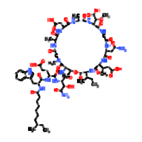 CCC(C)CCCCCCC(=O)NC(Cc1c[nH]c2ccccc12)C(=O)NC(CCC(=O)O)C(=O)NC(C(=O)NC1C(=O)N(C)CC(=O)NC(C)C(=O)NC(CC(=O)O)C(=O)NC(C)C(=O)NC(C(OC)C(=O)O)C(=O)NCC(=O)NC(CC(N)=O)C(=O)NC(C(C)CC(=O)O)C(=O)NC(C(C)CC)C(=O)OC1C)C(O)C(N)=O